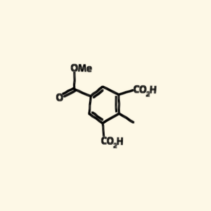 COC(=O)c1cc(C(=O)O)c(C)c(C(=O)O)c1